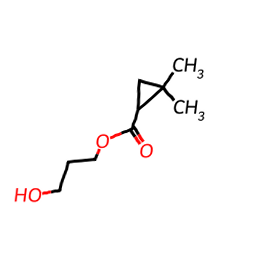 CC1(C)CC1C(=O)OCCCO